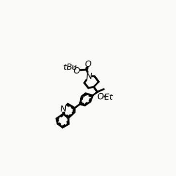 CCOC(C)(c1ccc(-c2cnc3ccccc3c2)cc1)C1CCN(C(=O)OC(C)(C)C)CC1